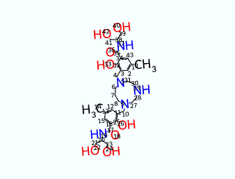 Cc1cc(CN2CCCN(Cc3cc(C)cc(C(=O)NC(CO)CO)c3O)CCNCC2)c(O)c(C(=O)NC(CO)CO)c1